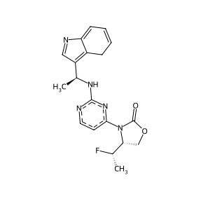 C[C@H](Nc1nccc(N2C(=O)OC[C@@H]2[C@H](C)F)n1)C1=C2CC=CC=C2N=C1